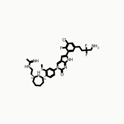 CSc1cc(-n2cc3cc(-c4cc(CCC(F)(F)CN)cc(Cl)c4F)[nH]c3nc2=O)ccc1[C@@H]1CCCC[C@@H](CCNC(C)=N)N1